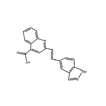 O=C(O)c1cc(/C=C/c2ccc3[nH]ncc3c2)nc2ccccc12